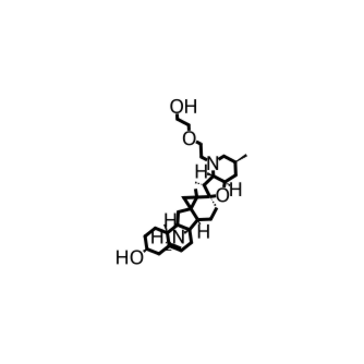 C[C@H]1C[C@H]2O[C@]3(CC[C@@H]4C5(C[C@H]6[C@@]4(N)CC=C4C[C@@H](O)CC[C@@]46C)CC53C)[C@H](C)[C@@H]2N(CCOCCO)C1